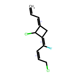 C=C/C=C1/C/C(=C(F)/C=C\CCl)C1Cl